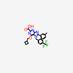 Cc1cccc(-c2nc3nc(C(=O)O)nc(OCC4CCC4)c3n2Cc2ccc(C(F)(F)F)cc2)c1